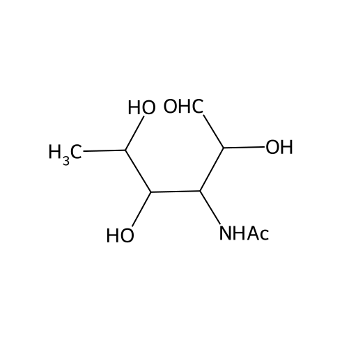 CC(=O)NC(C(O)C=O)C(O)C(C)O